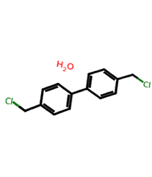 ClCc1ccc(-c2ccc(CCl)cc2)cc1.O